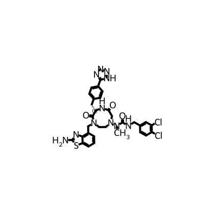 CN(C(=O)NCc1ccc(Cl)c(Cl)c1)N1CCN(Cc2cccc3sc(N)nc23)C(=O)[C@H](Cc2ccc(-c3nnn[nH]3)cc2)NC(=O)C1